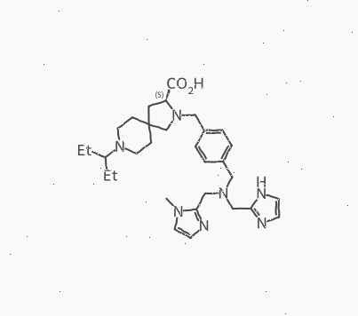 CCC(CC)N1CCC2(CC1)C[C@@H](C(=O)O)N(Cc1ccc(CN(Cc3ncc[nH]3)Cc3nccn3C)cc1)C2